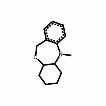 IN1c2ccccc2COC2CCCCC21